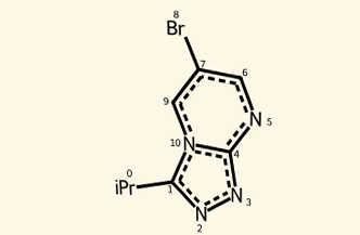 CC(C)c1nnc2ncc(Br)cn12